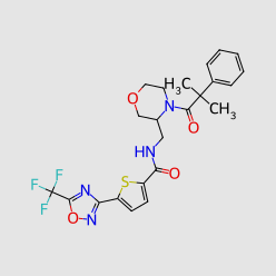 CC(C)(C(=O)N1CCOCC1CNC(=O)c1ccc(-c2noc(C(F)(F)F)n2)s1)c1ccccc1